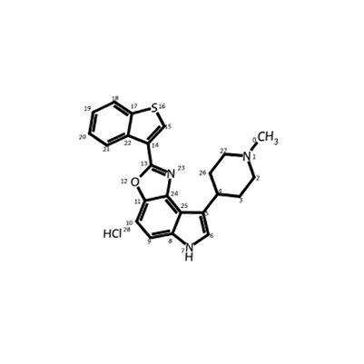 CN1CCC(c2c[nH]c3ccc4oc(-c5csc6ccccc56)nc4c23)CC1.Cl